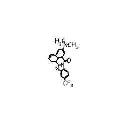 CN(C)c1cc2cccc3c2c(c1)c(=O)n1c2ccc(C(F)(F)F)cc2nc31